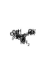 CC1C=C(C(=O)O)N2C(=O)C(NC(=O)C(=NOCCCNC(=O)OC(C)(C)C)c3nsc(N)n3)[C@@H]2S1